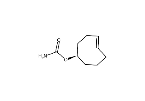 NC(=O)O[C@H]1CC/C=C/CCC1